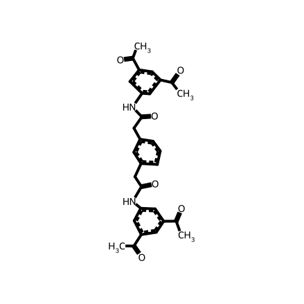 CC(=O)c1cc(NC(=O)Cc2cccc(CC(=O)Nc3cc(C(C)=O)cc(C(C)=O)c3)c2)cc(C(C)=O)c1